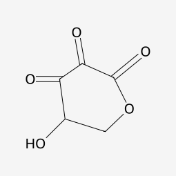 O=C1OCC(O)C(=O)C1=O